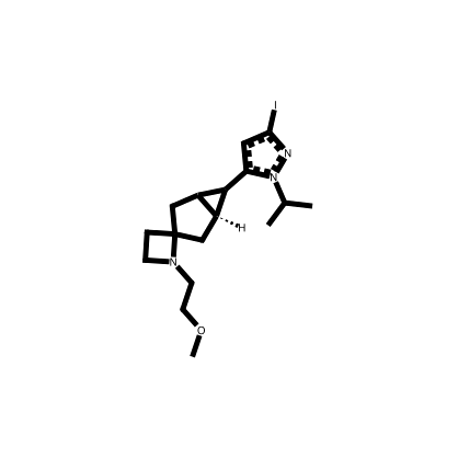 COCCN1CCC12CC1C(c3cc(I)nn3C(C)C)[C@H]1C2